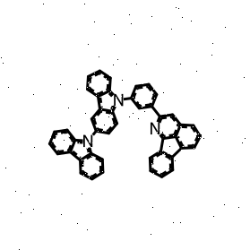 c1cc(-c2cc3cccc4c3c(n2)-c2ccccc2-4)cc(-n2c3ccccc3c3cc(-n4c5ccccc5c5ccccc54)ccc32)c1